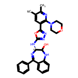 Cc1nc(N2CCOCC2)c(-c2nnc(N[C@H]3N=C(c4ccccc4)c4ccccc4NC3O)o2)cc1C#N